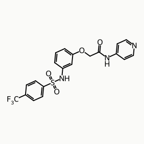 O=C(COc1cccc(NS(=O)(=O)c2ccc(C(F)(F)F)cc2)c1)Nc1ccncc1